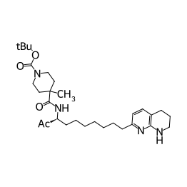 CC(=O)[C@H](CCCCCCCc1ccc2c(n1)NCCC2)NC(=O)C1(C)CCN(C(=O)OC(C)(C)C)CC1